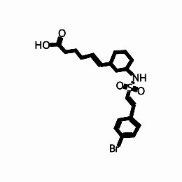 O=C(O)CCC/C=C/C1CCCC(NS(=O)(=O)/C=C/c2ccc(Br)cc2)C1